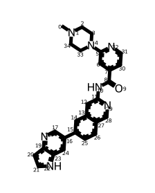 CN1CCN(c2cc(C(=O)Nc3cc4cc(-c5cnc6cc[nH]c6c5)ccc4cn3)ccn2)CC1